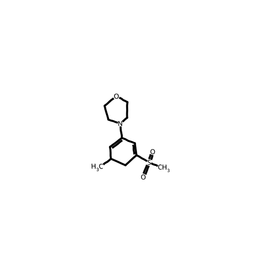 CC1C=C(N2CCOCC2)C=C(S(C)(=O)=O)C1